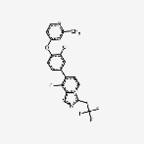 Cc1cc(Oc2ccc(-c3ccn4c(CC(F)(F)F)nnc4c3Cl)cc2Cl)ccn1